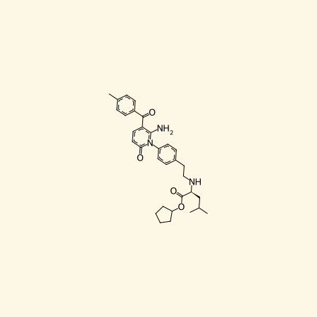 Cc1ccc(C(=O)c2ccc(=O)n(-c3ccc(CCN[C@@H](CC(C)C)C(=O)OC4CCCC4)cc3)c2N)cc1